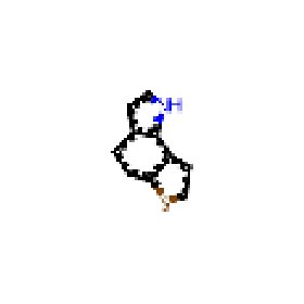 c1cc2ccc3sccc3c2[nH]1